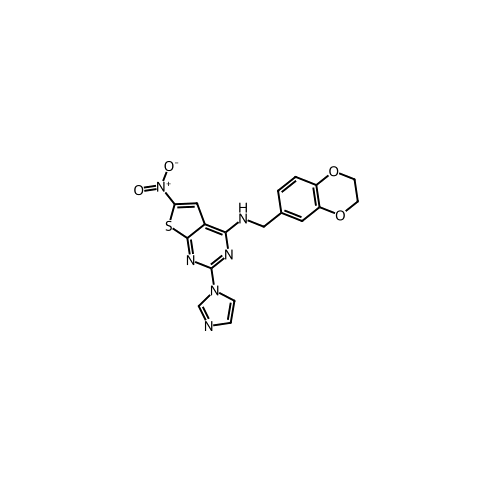 O=[N+]([O-])c1cc2c(NCc3ccc4c(c3)OCCO4)nc(-n3ccnc3)nc2s1